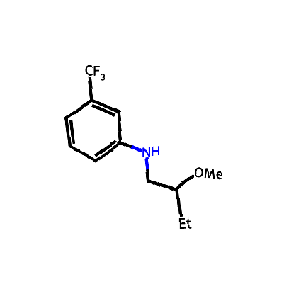 CCC(CNc1cccc(C(F)(F)F)c1)OC